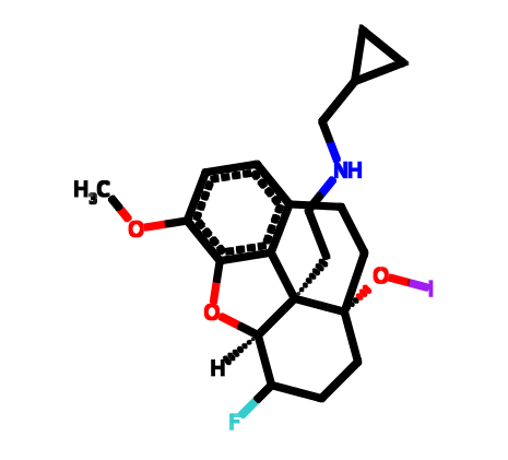 COc1ccc2c3c1O[C@@H]1C(F)CC[C@](OI)(CC2)[C@]31CCNCC1CC1